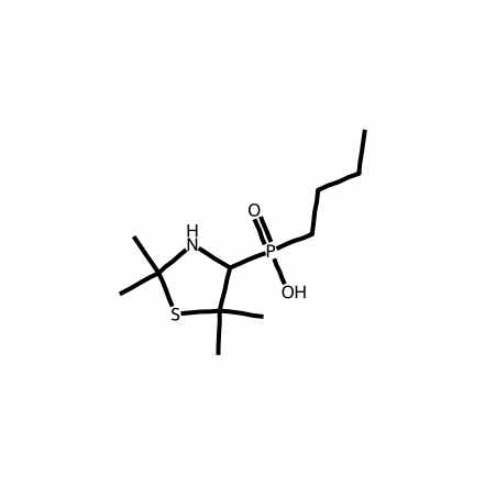 CCCCP(=O)(O)C1NC(C)(C)SC1(C)C